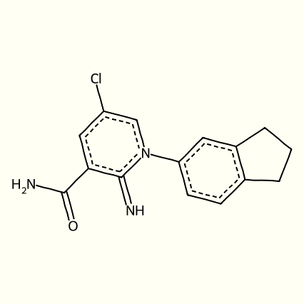 N=c1c(C(N)=O)cc(Cl)cn1-c1ccc2c(c1)CCC2